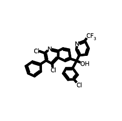 OC(c1ccc(C(F)(F)F)nc1)(c1cccc(Cl)c1)c1ccc2nc(Cl)c(-c3ccccc3)c(Cl)c2c1